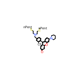 CCCCCSCCN(CCSCCCCC)Cc1ccc(-c2c3ccc(=O)cc-3oc3cc(N4CCCCC4)ccc23)c(C(F)(F)F)c1